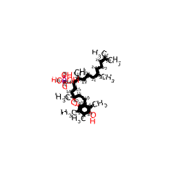 Cc1c(C)c2c(c(C)c1O)CC[C@@](C)(CCC[C@H](C)CCC[C@H](C)CCCC(C)C)O2.O=P(O)(O)O